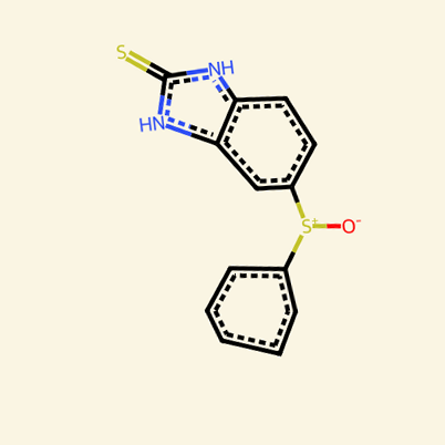 [O-][S+](c1ccccc1)c1ccc2[nH]c(=S)[nH]c2c1